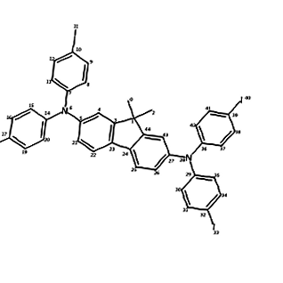 CC1(C)c2cc(N(c3ccc(I)cc3)c3ccc(I)cc3)ccc2-c2ccc(N(c3ccc(I)cc3)c3ccc(I)cc3)cc21